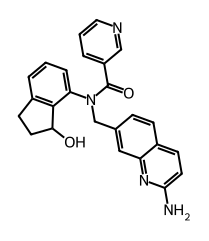 Nc1ccc2ccc(CN(C(=O)c3cccnc3)c3cccc4c3C(O)CC4)cc2n1